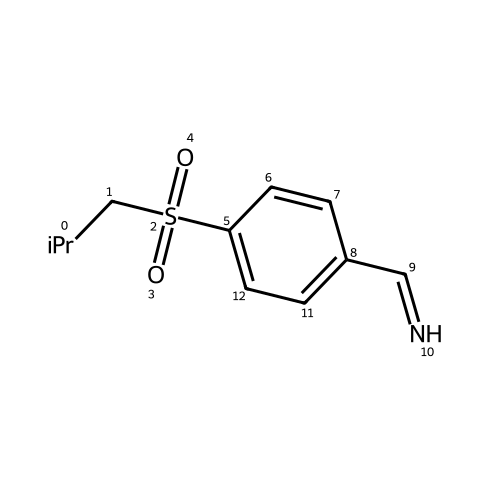 CC(C)CS(=O)(=O)c1ccc(C=N)cc1